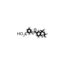 CC1(C)CC(C)(C)c2cc(C(=O)Oc3cccc(C(=O)O)c3)ccc2S1